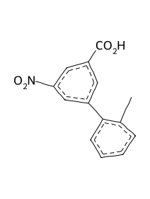 Cc1ccccc1-c1cc(C(=O)O)cc([N+](=O)[O-])c1